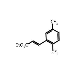 CCOC(=O)/C=C/c1cc(C(F)(F)F)ccc1C(F)(F)F